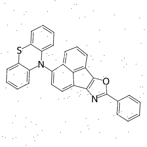 c1ccc(-c2nc3c(o2)-c2cccc4c(N5c6ccccc6Sc6ccccc65)ccc-3c24)cc1